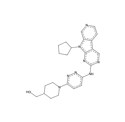 OCC1CCN(c2ccc(Nc3ncc4c5ccncc5n(C5CCCC5)c4n3)nn2)CC1